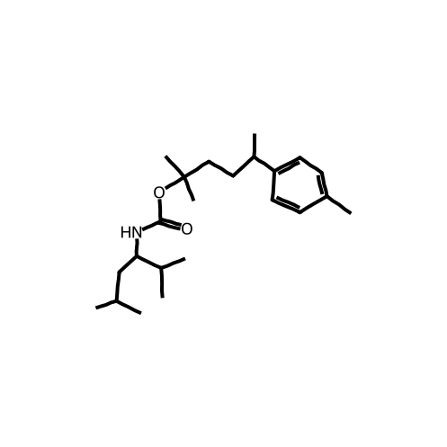 Cc1ccc(C(C)CCC(C)(C)OC(=O)NC(CC(C)C)C(C)C)cc1